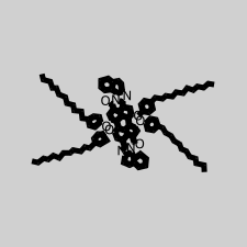 CCCCCCCCCCCCc1ccc(Oc2cc3c(=O)n4c(nc5ccc6ccccc6c54)c4cc(Oc5ccc(CCCCCCCCCCCC)cc5)c5c6c(Oc7ccc(CCCCCCCCCCCC)cc7)cc7c(=O)n8c(nc9ccc%10ccccc%10c98)c8cc(Oc9ccc(CCCCCCCCCCCC)cc9)c(c2c5c34)c6c78)cc1